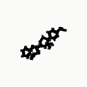 COc1ccc(N2CCN(/C(=N/C#N)Oc3ccccc3)CC2(C)C)cc1